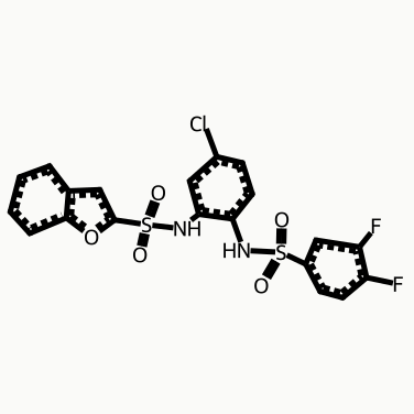 O=S(=O)(Nc1ccc(Cl)cc1NS(=O)(=O)c1cc2ccccc2o1)c1ccc(F)c(F)c1